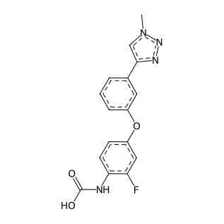 Cn1cc(-c2cccc(Oc3ccc(NC(=O)O)c(F)c3)c2)nn1